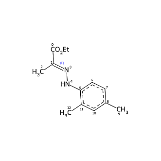 CCOC(=O)/C(C)=N/Nc1ccc(C)cc1C